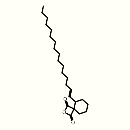 CCCCCCCCCCCCCCC=CC1CCCCC12C(=O)OC2=O